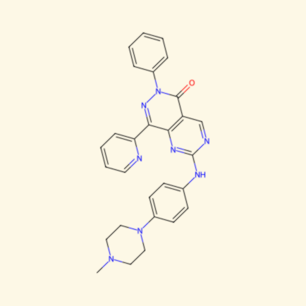 CN1CCN(c2ccc(Nc3ncc4c(=O)n(-c5ccccc5)nc(-c5ccccn5)c4n3)cc2)CC1